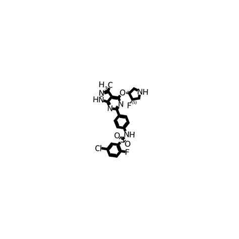 Cc1n[nH]c2nc(-c3ccc(NS(=O)(=O)c4cc(Cl)ccc4F)cc3)nc(O[C@@H]3CNC[C@@H]3F)c12